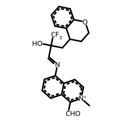 C[n+]1ccc2c(N=CC(O)(CC3CCOc4ccccc43)C(F)(F)F)cccc2c1C=O